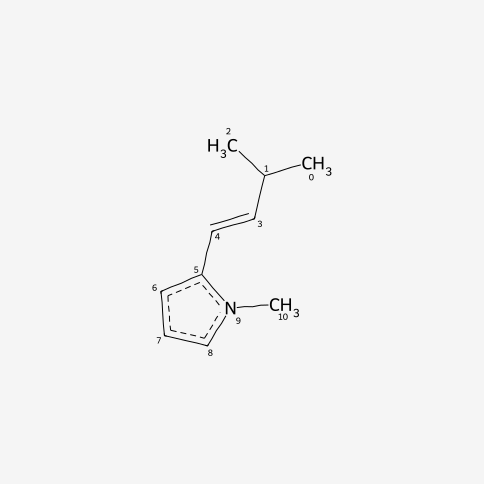 CC(C)/C=C/c1cccn1C